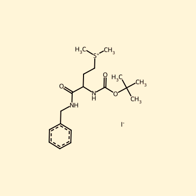 C[S+](C)CCC(NC(=O)OC(C)(C)C)C(=O)NCc1ccccc1.[I-]